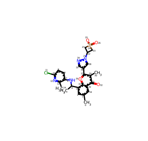 Cc1cc(C(C)Nc2ccc(Cl)nc2C)c2oc(-c3cnn(C4CS(=O)(=O)C4)c3)c(C)c(=O)c2c1